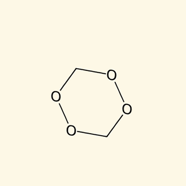 C1OOCOO1